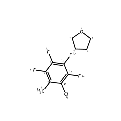 C1CCOC1.Cc1c(F)c(F)c(F)c(F)c1Cl